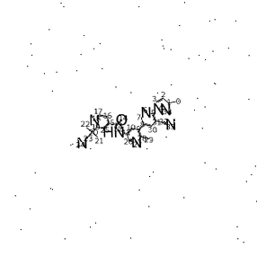 Cc1ccn(-c2ncc(-c3cc(NC(=O)c4ccnc(C(C)(C)C#N)c4)cnc3C)cc2C#N)n1